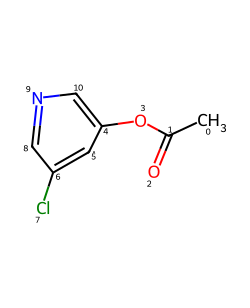 CC(=O)Oc1[c]c(Cl)cnc1